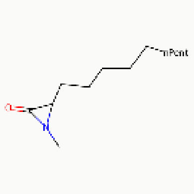 CCCCCCCCCCC1C(=O)N1C